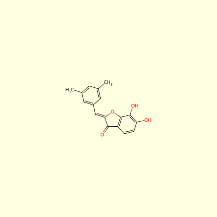 Cc1cc(C)cc(/C=C2\Oc3c(ccc(O)c3O)C2=O)c1